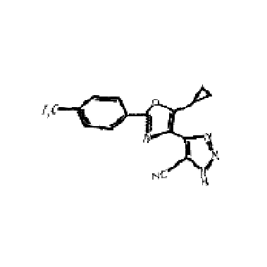 N#Cc1[nH]nnc1-c1nc(-c2ccc(C(F)(F)F)cc2)oc1C1CC1